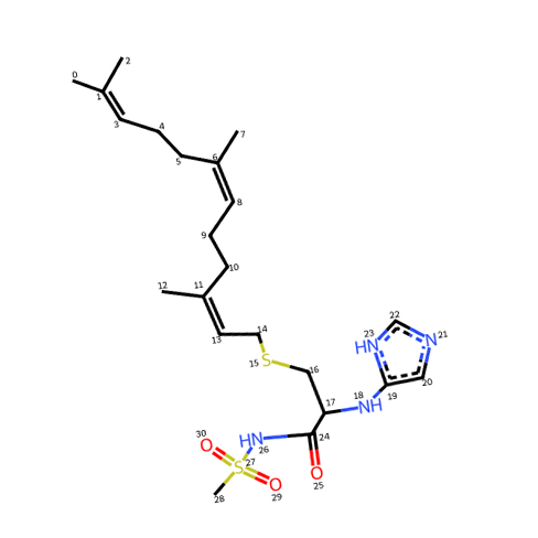 CC(C)=CCCC(C)=CCCC(C)=CCSCC(Nc1cnc[nH]1)C(=O)NS(C)(=O)=O